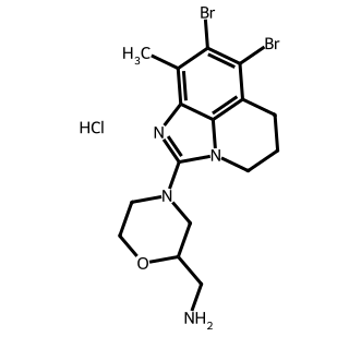 Cc1c(Br)c(Br)c2c3c1nc(N1CCOC(CN)C1)n3CCC2.Cl